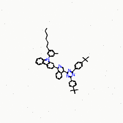 CCCCCCc1cc(C)cc(-n2c3ccccc3c3ccc(-c4ncc(-c5nc(-c6ccc(C(C)(C)C)cc6)nc(-c6ccc(C(C)(C)C)cc6)n5)c5ccccc45)cc32)c1